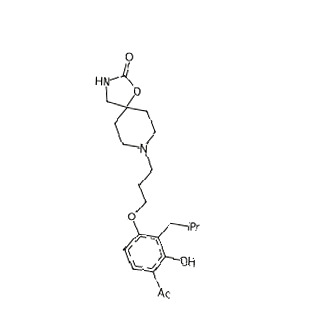 CC(=O)c1ccc(OCCCN2CCC3(CC2)CNC(=O)O3)c(CC(C)C)c1O